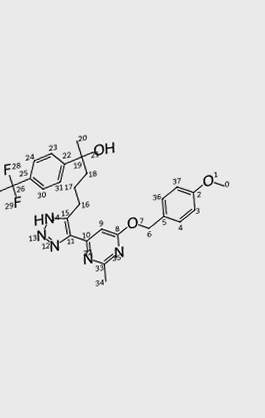 COc1ccc(COc2cc(-c3nn[nH]c3CCCC(C)(O)c3ccc(C(F)(F)F)cc3)nc(C)n2)cc1